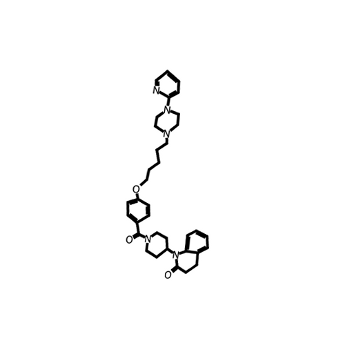 O=C(c1ccc(OCCCCCN2CCN(c3ccccn3)CC2)cc1)N1CCC(N2C(=O)CCc3ccccc32)CC1